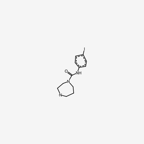 O=C(Nc1ccc(I)cc1)N1CCC[N]CC1